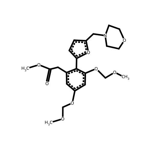 COCOc1cc(CC(=O)OC)c(-c2ccc(CN3CCOCC3)o2)c(OCOC)c1